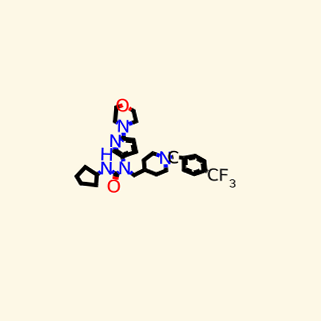 O=C(NC1CCCC1)N(CC1CCN(Cc2ccc(C(F)(F)F)cc2)CC1)c1ccc(N2CCOCC2)nc1